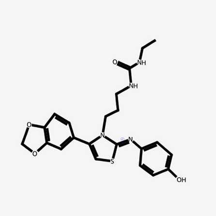 CCNC(=O)NCCCn1c(-c2ccc3c(c2)OCO3)cs/c1=N\c1ccc(O)cc1